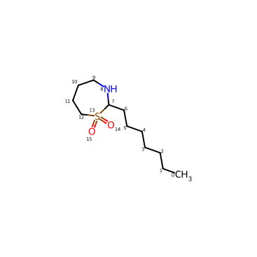 CCCCCCCC1NCCCCS1(=O)=O